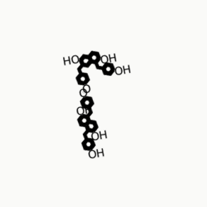 Oc1ccc(Cc2c(O)ccc3cc(O)c(Cc4ccc(OOc5ccc(Cc6c(O)ccc7c(Cc8ccc(O)cc8)c(O)ccc67)cc5)cc4)cc23)cc1